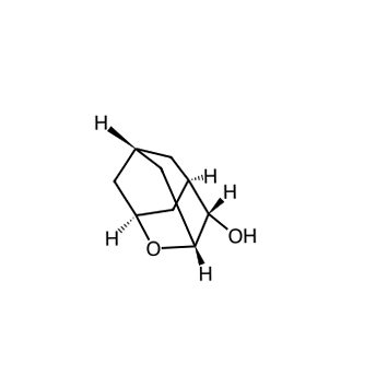 O[C@H]1[C@@H]2C[C@H]3C[C@@H](C2)O[C@@H]1C3